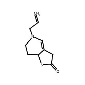 C=CCN1C=C2CC(=O)SC2CC1